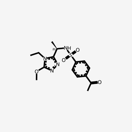 CCn1c(OC)nnc1[C@@H](C)NS(=O)(=O)c1ccc(C(C)=O)cc1